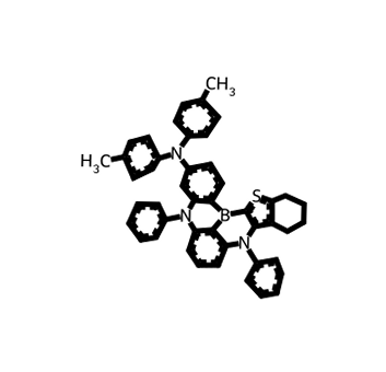 Cc1ccc(N(c2ccc(C)cc2)c2ccc3c(c2)N(c2ccccc2)c2cccc4c2B3c2sc3c(c2N4c2ccccc2)CCCC3)cc1